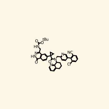 CC(C)(C)OC(=O)NCc1n[nH]c(=O)c2ccc(C3(C(=O)N(Cc4ccc(-c5c(Cl)cccc5C#N)cn4)C4CCCc5cccnc54)CC3)cc12